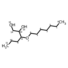 CCCCCCCOC(CCC)C(O)CO